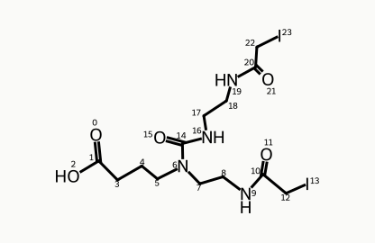 O=C(O)CCCN(CCNC(=O)CI)C(=O)NCCNC(=O)CI